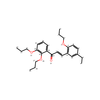 CCCOc1ccc(CC)cc1C=CC(=O)c1cccc(OCCC)c1OCCC